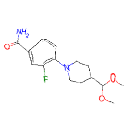 COC(OC)C1CCN(c2ccc(C(N)=O)cc2F)CC1